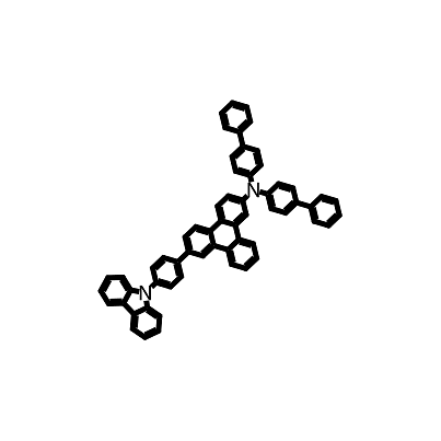 c1ccc(-c2ccc(N(c3ccc(-c4ccccc4)cc3)c3ccc4c5ccc(-c6ccc(-n7c8ccccc8c8ccccc87)cc6)cc5c5ccccc5c4c3)cc2)cc1